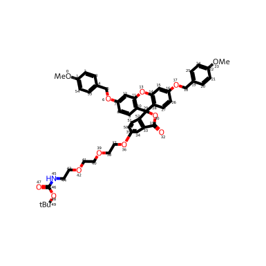 COc1ccc(COc2ccc3c(c2)Oc2cc(OCc4ccc(OC)cc4)ccc2C32OC(=O)c3cc(OCCOCCOCCNC(=O)OC(C)(C)C)ccc32)cc1